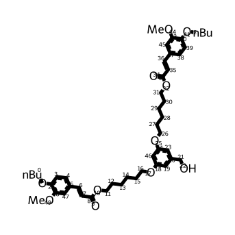 CCCCOc1ccc(C=CC(=O)OCCCCCCOc2cc(CO)cc(OCCCCCCOC(=O)C=Cc3ccc(OCCCC)c(OC)c3)c2)cc1OC